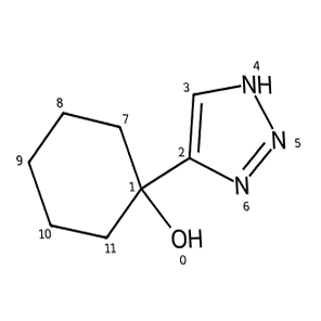 OC1(c2c[nH]nn2)CCCCC1